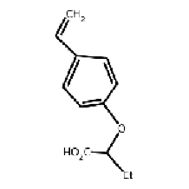 C=Cc1ccc(OC(CC)C(=O)O)cc1